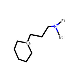 CCN(CC)CC[CH2][Ga]1[CH2]CCC[CH2]1